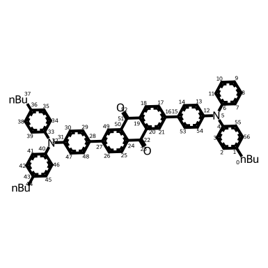 CCCCc1ccc(N(c2ccccc2)c2ccc(-c3ccc4c(c3)C(=O)c3ccc(-c5ccc(N(c6ccc(CCCC)cc6)c6ccc(CCCC)cc6)cc5)cc3C4=O)cc2)cc1